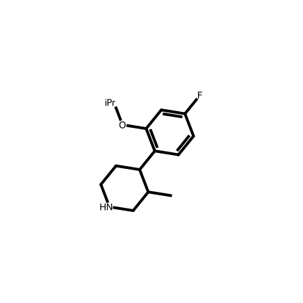 CC(C)Oc1cc(F)ccc1C1CCNCC1C